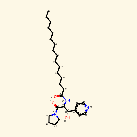 CCCCCCCCCCCCCCCC(=O)NC(C(=O)N1CCCC1)[C@@H](O)c1ccncc1